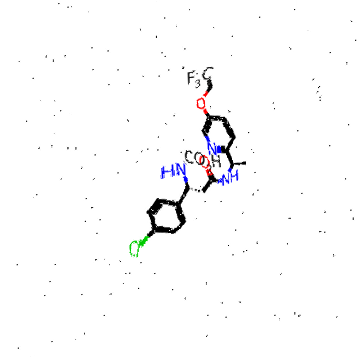 C[C@@H](NC(=O)C[C@@H](NC(=O)O)c1ccc(Cl)cc1)c1ccc(OCC(F)(F)F)cn1